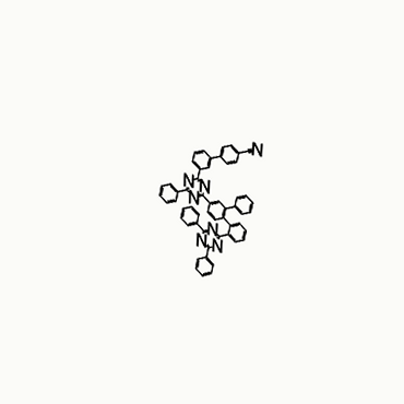 N#Cc1ccc(-c2cccc(-c3nc(-c4ccccc4)nc(-c4ccc(-c5ccccc5-c5nc(-c6ccccc6)nc(-c6ccccc6)n5)c(-c5ccccc5)c4)n3)c2)cc1